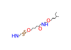 CCC(C)/C=C/COCCNCC(=O)CCCCOCSSCCNC